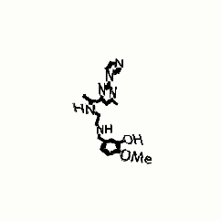 COc1ccc(CNCCNC(C)c2cc(C)nc(-n3ccnc3)n2)cc1O